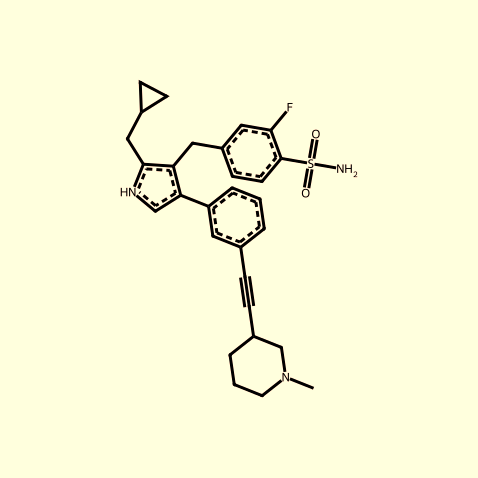 CN1CCCC(C#Cc2cccc(-c3c[nH]c(CC4CC4)c3Cc3ccc(S(N)(=O)=O)c(F)c3)c2)C1